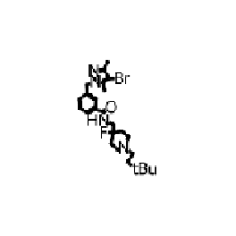 Cc1nn(Cc2cccc(C(=O)NCC3(F)CCN(CCC(C)(C)C)CC3)c2)c(C)c1Br